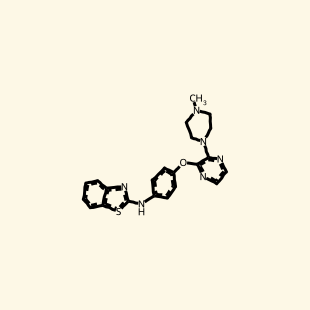 CN1CCN(c2nccnc2Oc2ccc(Nc3nc4ccccc4s3)cc2)CC1